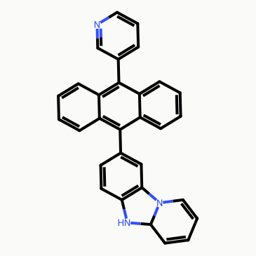 C1=CC2Nc3ccc(-c4c5ccccc5c(-c5cccnc5)c5ccccc45)cc3N2C=C1